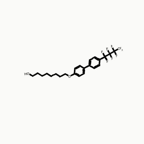 OCCCCCCCCOc1ccc(-c2ccc(C(F)(F)C(F)(F)C(F)(F)C(F)(F)F)cc2)cc1